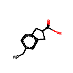 CCc1ccc2c(c1)CC(C(=O)O)C2